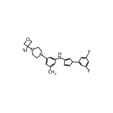 [2H]C1(N2CCN(c3cc(C)cc(NC4=CC(c5cc(F)cc(F)c5)C=C4)c3)CC2)COC1